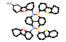 CC1C=Cc2oc3c(-n4c5cccc6c5-c5c(cccc5p(-c5cccc7c5sc5ccccc57)n6-c5cccc6c5oc5ccccc56)p4-c4cccc5c4sc4ccccc45)cccc3c2C1